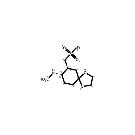 CC(C)S(=O)(=O)C[C@H]1CC2(CC[C@@H]1NC(=O)O)OCCO2